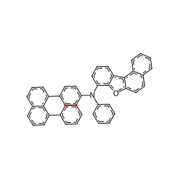 c1ccc(-c2cccc3cccc(-c4ccc(N(c5ccccc5)c5cccc6c5oc5ccc7ccccc7c56)cc4)c23)cc1